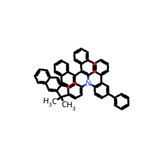 CC1(C)c2ccc(N(c3ccc(-c4ccccc4)cc3-c3ccccc3)c3ccc4ccccc4c3-c3cccc4ccccc34)cc2-c2cc3ccccc3cc21